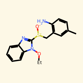 CCOn1c([S+]([O-])Cc2cc(C)ccc2N)nc2ccccc21